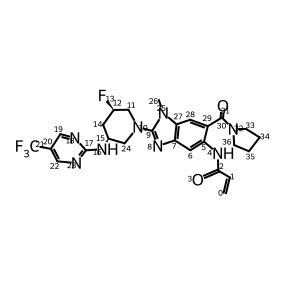 C=CC(=O)Nc1cc2nc(N3C[C@H](F)C[C@@H](Nc4ncc(C(F)(F)F)cn4)C3)n(C)c2cc1C(=O)N1CCCC1